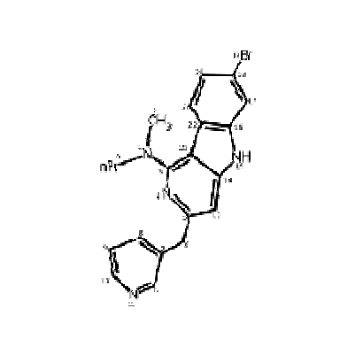 [CH2]CCN(C)c1nc(Cc2cccnc2)cc2[nH]c3cc(Br)ccc3c12